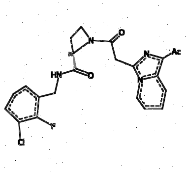 CC(=O)c1nc(CC(=O)N2CC[C@H]2C(=O)NCc2cccc(Cl)c2F)n2ccccc12